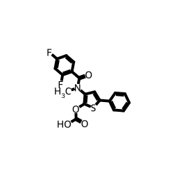 CN(C(=O)c1ccc(F)cc1F)c1cc(-c2ccccc2)sc1OC(=O)O